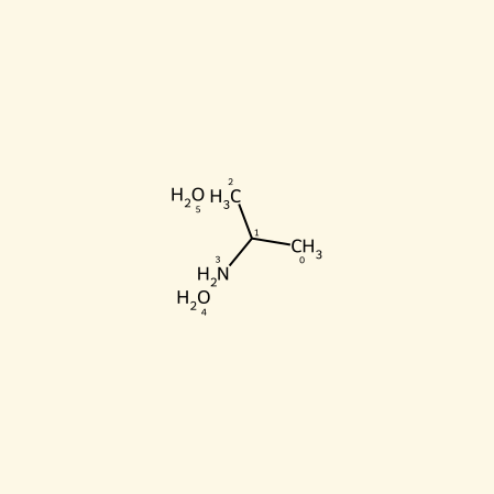 CC(C)N.O.O